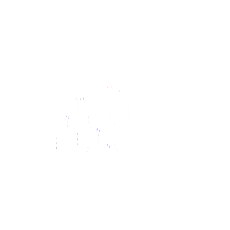 CCOC(=O)c1cccc(N(C(N)=O)c2cc(C)nc3ccccc23)c1